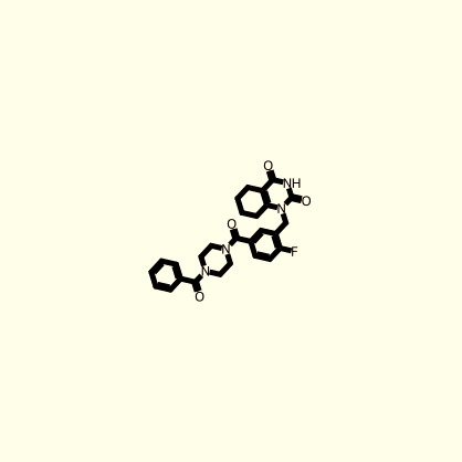 O=C(c1ccccc1)N1CCN(C(=O)c2ccc(F)c(Cn3c4c(c(=O)[nH]c3=O)CCCC4)c2)CC1